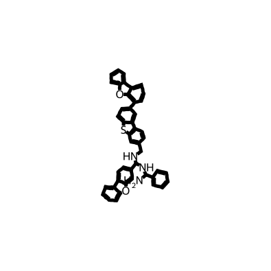 NC(NC(NCc1ccc2c(c1)sc1ccc(-c3cccc4c3oc3ccccc34)cc12)c1ccc2c(c1)oc1ccccc12)c1ccccc1